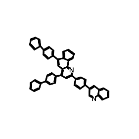 c1ccc(-c2ccc(-c3cc4c(-c5ccc(-c6ccccc6)cc5)cc(-c5ccc(-c6cnc7ccccc7c6)cc5)nc4c4ccccc34)cc2)cc1